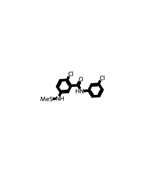 CSNc1ccc(Cl)c(C(=O)Nc2cccc(Cl)c2)c1